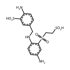 Nc1ccc(NCc2ccc(N)c(S(=O)(=O)O)c2)c(S(=O)(=O)CCS(=O)(=O)O)c1